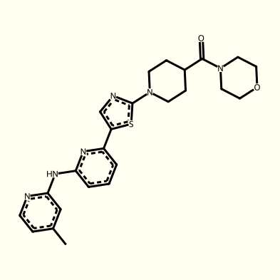 Cc1ccnc(Nc2cccc(-c3cnc(N4CCC(C(=O)N5CCOCC5)CC4)s3)n2)c1